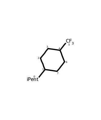 CCCC(C)C1CCC(C(F)(F)F)CC1